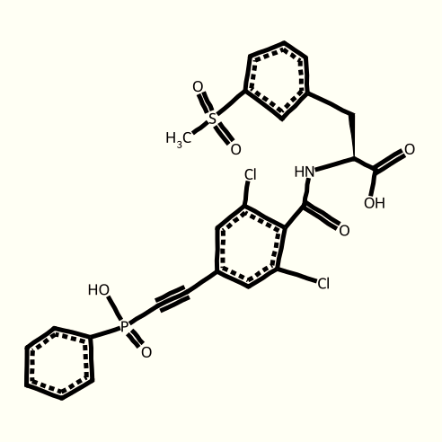 CS(=O)(=O)c1cccc(C[C@H](NC(=O)c2c(Cl)cc(C#CP(=O)(O)c3ccccc3)cc2Cl)C(=O)O)c1